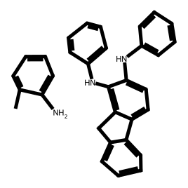 Cc1ccccc1N.c1ccc(Nc2ccc3c(c2Nc2ccccc2)Cc2ccccc2-3)cc1